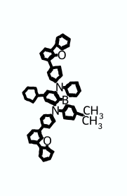 CC(C)c1ccc2c(c1)B1c3ccccc3N(c3ccc(-c4cccc5c4oc4ccccc45)cc3)c3cc(C4CCCCC4)cc(c31)N2c1ccc(-c2cccc3c2oc2ccccc23)cc1